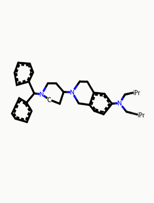 CC(C)CN(CC(C)C)c1ccc2c(c1)CCN(C1CCN(C(c3ccccc3)c3ccccc3)CC1)C2